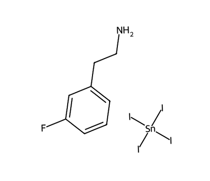 NCCc1cccc(F)c1.[I][Sn]([I])([I])[I]